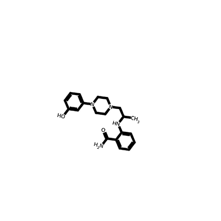 CC(CN1CCN(c2cccc(O)c2)CC1)Nc1ccccc1C(N)=O